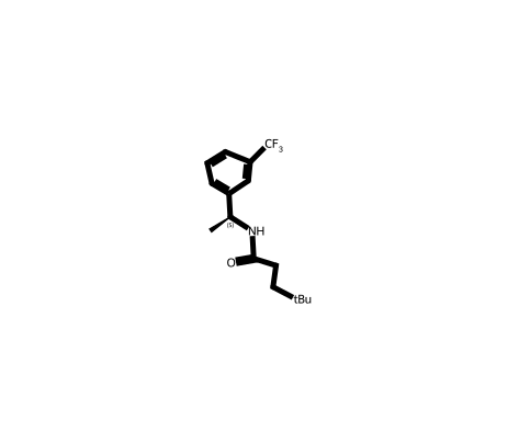 C[C@H](NC(=O)CCC(C)(C)C)c1cccc(C(F)(F)F)c1